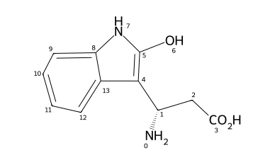 N[C@@H](CC(=O)O)c1c(O)[nH]c2ccccc12